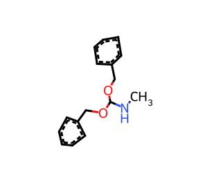 CNC(OCc1ccccc1)OCc1ccccc1